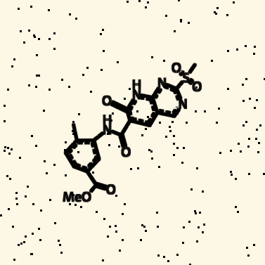 COC(=O)c1ccc(C)c(NC(=O)c2cc3cnc(S(C)(=O)=O)nc3[nH]c2=O)c1